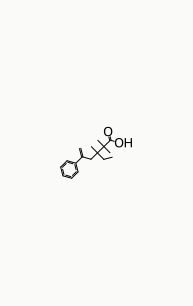 C=C(CC(C)(CC)C(C)(C)C(=O)O)c1ccccc1